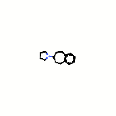 [c]1ccc2c(c1)CCC(N1CCCC1)CC2